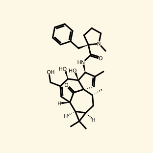 CC1=C[C@]23C(=O)[C@@H](C=C(CO)[C@@H](O)[C@]2(O)[C@H]1NC(=O)[C@]1(Cc2ccccc2)CCCN1C)[C@H]1[C@@H](C[C@H]3C)C1(C)C